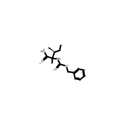 CC[C@H](C)C(C)(NC(=O)OCc1ccccc1)C(=O)O